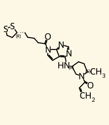 C=CC(=O)N1C[C@H](Nc2ncnc3c2ccn3C(=O)CCCC[C@@H]2CCSS2)CC[C@@H]1C